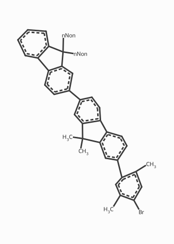 CCCCCCCCCC1(CCCCCCCCC)c2ccccc2-c2ccc(-c3ccc4c(c3)C(C)(C)c3cc(-c5cc(C)c(Br)cc5C)ccc3-4)cc21